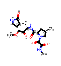 CC(C)(C)NC(=O)C(=O)N1C[C@H](C(F)(F)F)C[C@H]1C(=O)N[C@@H](C[C@@H]1CCNC1=O)C(=O)COC(F)(F)F